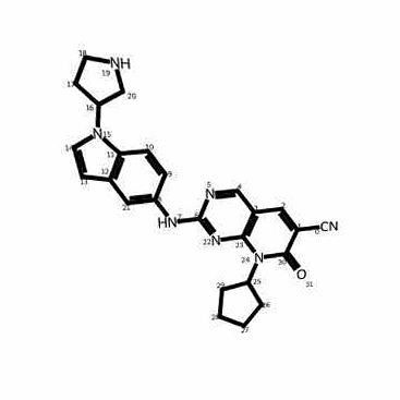 N#Cc1cc2cnc(Nc3ccc4c(ccn4C4CCNC4)c3)nc2n(C2CCCC2)c1=O